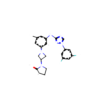 Cc1cc(Nc2ncn(-c3cc(F)cc(F)c3)n2)cc(N2CC(N3CCCC3=O)C2)c1